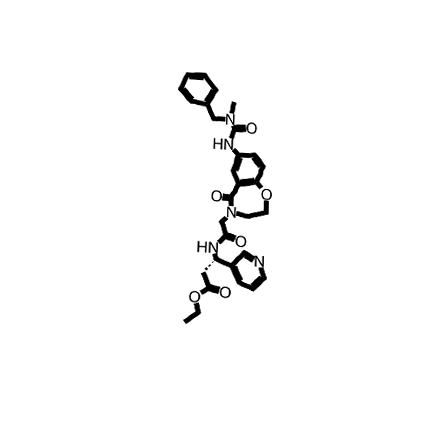 CCOC(=O)C[C@H](NC(=O)CN1CCOc2ccc(NC(=O)N(C)Cc3ccccc3)cc2C1=O)c1cccnc1